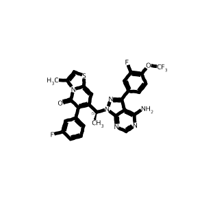 Cc1csc2cc([C@H](C)n3nc(-c4ccc(OC(F)(F)F)c(F)c4)c4c(N)ncnc43)c(-c3cccc(F)c3)c(=O)n12